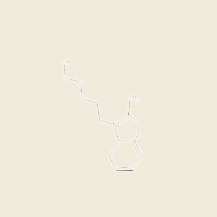 CC1=[N+](CCSOOO)c2ccccc2C1